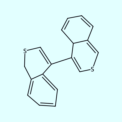 C1=CC2=CSC=C(C3=CSCc4ccccc43)C2C=C1